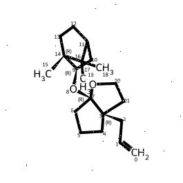 C=CC[C@@]12CCC[C@]1(O[C@@H]1CC3CC[C@]1(C)C3(C)C)OCC2